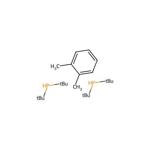 CC(C)(C)PC(C)(C)C.CC(C)(C)PC(C)(C)C.Cc1ccccc1C